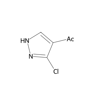 [CH2]C(=O)c1c[nH]nc1Cl